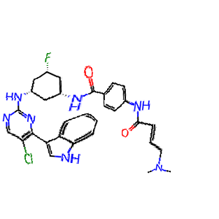 CN(C)C/C=C/C(=O)Nc1ccc(C(=O)N[C@H]2C[C@@H](F)C[C@@H](Nc3ncc(Cl)c(-c4c[nH]c5ccccc45)n3)C2)cc1